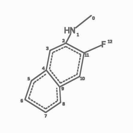 CNc1cc2ccccc2cc1F